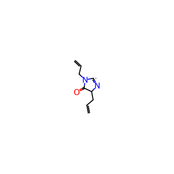 C=CCC1N=[C]N(CC=C)C1=O